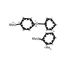 COc1ccccc1.COc1ccccc1.COc1ccccc1.P